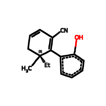 CC[C@@]1(C)CC=CC(C#N)=C1c1ccccc1O